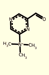 C[N+](C)(C)c1cncc(C=O)n1